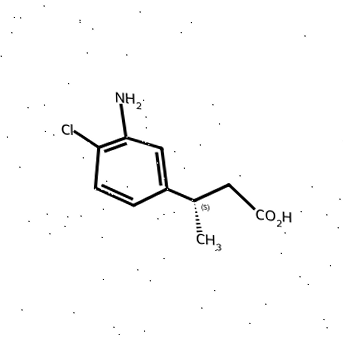 C[C@@H](CC(=O)O)c1ccc(Cl)c(N)c1